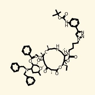 CC[C@H]1OC(=O)[C@H](C)C(=O)[C@H](C)[C@@H](O[C@@H]2OC(C)CC(N(Cc3ccccc3)Cc3ccccc3)C2OC(=O)c2ccccc2)[C@](C)(OC)C[C@@H](C)CN[C@H](C)[C@H]2N(CCCCn3cc(-c4cccc(NC(=O)OC(C)(C)C)c4)nn3)C(=O)O[C@]12C